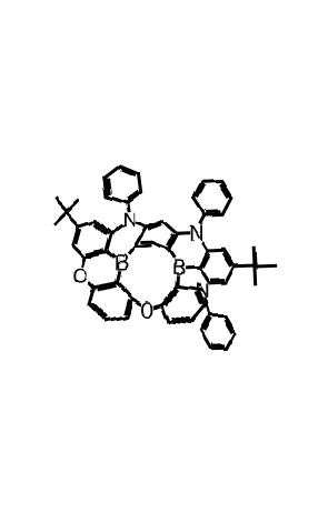 CC(C)(C)c1cc2c3c(c1)N(c1ccccc1)c1cc4c5cc1B3c1c(cccc1Oc1cccc3c1B5c1c(cc(C(C)(C)C)cc1N3c1ccccc1)N4c1ccccc1)O2